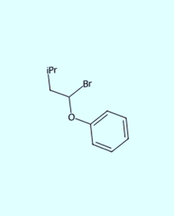 CC(C)CC(Br)Oc1ccccc1